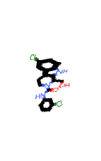 O=C(Nc1cccc(Cl)c1)N1CCc2c([nH]c3ccc(Cl)cc23)C1CO